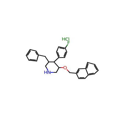 Cl.Fc1ccc(C2C(Cc3ccccc3)CNCC2OCc2ccc3ccccc3c2)cc1